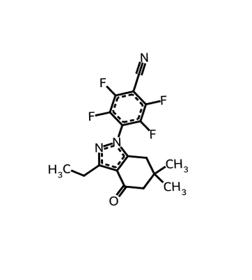 CCc1nn(-c2c(F)c(F)c(C#N)c(F)c2F)c2c1C(=O)CC(C)(C)C2